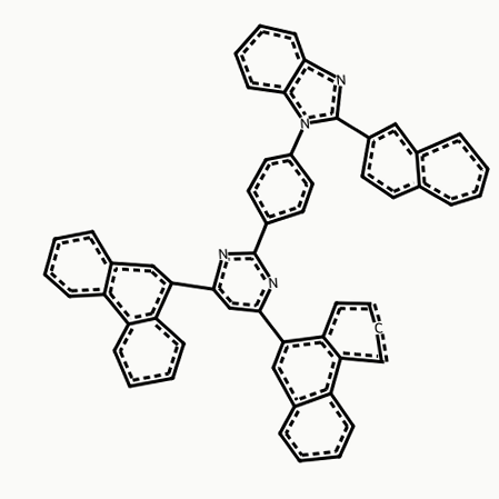 c1ccc2cc(-c3nc4ccccc4n3-c3ccc(-c4nc(-c5cc6ccccc6c6ccccc56)cc(-c5cc6ccccc6c6ccccc56)n4)cc3)ccc2c1